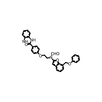 Nc1ccccc1NC(=O)c1ccc(OCCN(C=O)c2cc3cccc(COc4ccccc4)c3o2)cc1